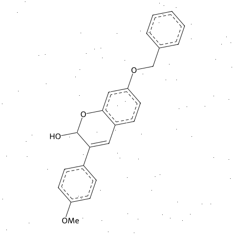 COc1ccc(C2=Cc3ccc(OCc4ccccc4)cc3OC2O)cc1